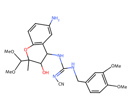 COc1ccc(CNC(=NC#N)NC2c3cc(N)ccc3OC(C)(C(OC)OC)C2O)cc1OC